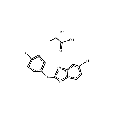 CCC(=O)O.[K+].[O-]c1ccc(Oc2nc3ccc(Cl)cc3o2)cc1